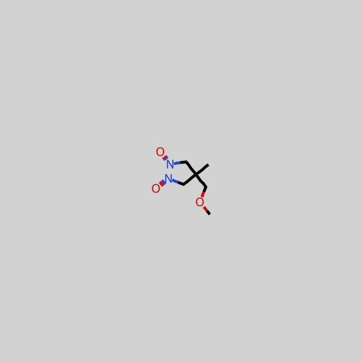 COCC(C)(CN=O)CN=O